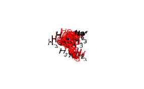 C[C@@H]1CC2C3CCC4=CC(=O)C=C[C@]4(C)[C@@]3(F)[C@@H](O)C[C@]2(C)[C@@]1(O)C(=O)CO.C[C@@H]1CC2C3CCC4=CC(=O)C=C[C@]4(C)[C@@]3(F)[C@@H](O)C[C@]2(C)[C@@]1(O)C(=O)CO.C[C@@H]1CC2C3CCC4=CC(=O)C=C[C@]4(C)[C@@]3(F)[C@@H](O)C[C@]2(C)[C@@]1(O)C(=O)CO.C[C@@H]1CC2[C@H]3CCC4=CC(=O)C=C[C@]4(C)[C@@]3(F)[C@@H](O)C[C@]2(C)[C@@]1(O)C(=O)CO.O=P([O-])([O-])[O-].[Na+].[Na+].[Na+]